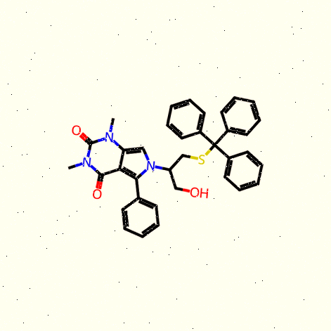 Cn1c(=O)c2c(-c3ccccc3)n(C(CO)CSC(c3ccccc3)(c3ccccc3)c3ccccc3)cc2n(C)c1=O